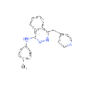 FC(F)(F)c1ccc(Nc2nnc(Cc3ccncc3)c3ccccc23)cc1